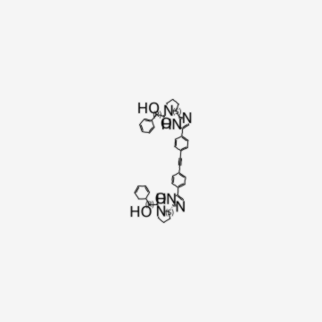 O=C([C@H](O)c1ccccc1)N1CCC[C@H]1c1ncc(-c2ccc(C#Cc3ccc(-c4cnc([C@@H]5CCCN5C(=O)[C@H](O)C5C=CC=CC5)[nH]4)cc3)cc2)[nH]1